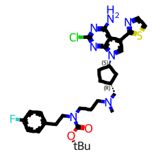 CN(CCCN(CCc1ccc(F)cc1)C(=O)OC(C)(C)C)C[C@@H]1CC[C@H](n2cc(-c3nccs3)c3c(N)nc(Cl)nc32)C1